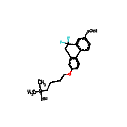 CCCCCCCCc1ccc2c(c1)C(F)(F)Cc1cc(OCCCC[Si](C)(C)CCCC)ccc1-2